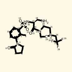 Cc1c(N2CCCC2=O)cccc1S(=O)(=O)N[C@@H](CN)C(=O)N1CCN(CC(F)(F)F)CC1